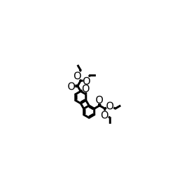 CCOC(OCC)C(=O)c1cccc2c1C1=C2C=CC2(C(=O)C(OCC)OCC)OC12